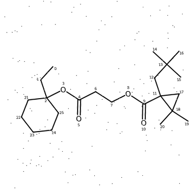 CCC1(OC(=O)CCOC(=O)C2(CC(C)(C)C)CC2(C)C)CCCCC1